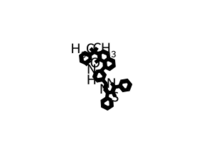 CC1(C)c2cccc3c2Oc2c1ccc1cccc(c21)-c1cc(-c2nc(-c4ccccc4)c4sc5ccccc5c4n2)ccc1N3